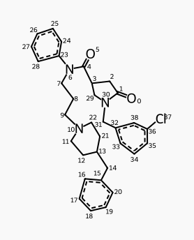 O=C1CC(C(=O)N(CCCN2CCC(Cc3ccccc3)CC2)c2ccccc2)CN1Cc1cccc(Cl)c1